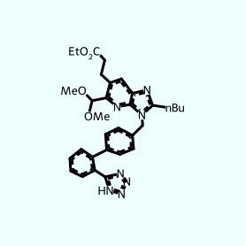 CCCCc1nc2cc(CCC(=O)OCC)c(C(OC)OC)nc2n1Cc1ccc(-c2ccccc2-c2nnn[nH]2)cc1